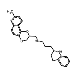 Cc1ccc2c3c(ccc2n1)OCC(CNCCCC1CCc2ccccc2N1)O3